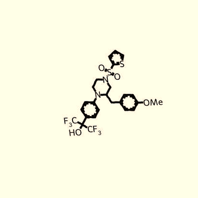 COc1ccc(CC2CN(S(=O)(=O)c3cccs3)CCN2c2ccc(C(O)(C(F)(F)F)C(F)(F)F)cc2)cc1